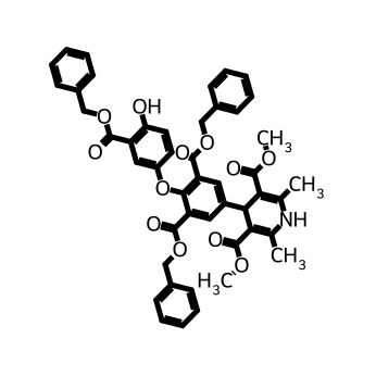 COC(=O)C1=C(C)NC(C)=C(C(=O)OC)C1c1cc(C(=O)OCc2ccccc2)c(Oc2ccc(O)c(C(=O)OCc3ccccc3)c2)c(C(=O)OCc2ccccc2)c1